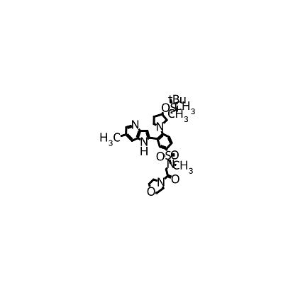 Cc1cnc2cc(-c3cc(S(=O)(=O)N(C)CC(=O)N4CCOCC4)ccc3N3CCC(O[Si](C)(C)C(C)(C)C)C3)[nH]c2c1